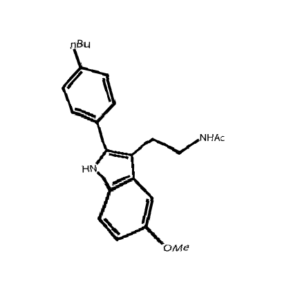 CCCCc1ccc(-c2[nH]c3ccc(OC)cc3c2CCNC(C)=O)cc1